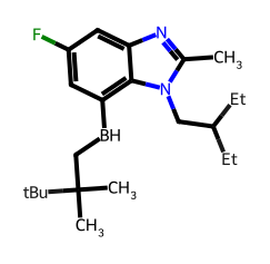 CCC(CC)Cn1c(C)nc2cc(F)cc(BCC(C)(C)C(C)(C)C)c21